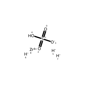 O=S(=O)([O-])O.[H-].[H-].[H-].[Zr+4]